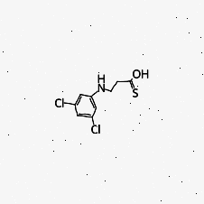 OC(=S)CCNc1cc(Cl)cc(Cl)c1